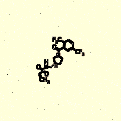 C=CS(=O)(=O)NC[C@H]1CCN(C(=O)c2cc(C(F)(F)F)ccc2C(F)(F)F)C1